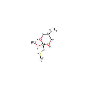 CCO[Si]1(CSC(C)=O)OCC(C)CO1